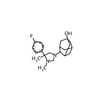 CN1CN(C2C3CC4CC2CC(O)(C4)C3)CC1(C)c1ccc(F)cc1